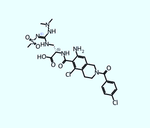 CN(C)N/C(=N/S(C)(=O)=O)NC[C@H](NC(=O)c1c(N)cc2c(c1Cl)CCN(C(=O)c1ccc(Cl)cc1)C2)C(=O)O